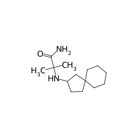 CC(C)(NC1CCC2(CCCCC2)C1)C(N)=O